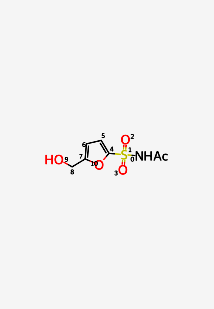 CC(=O)NS(=O)(=O)c1ccc(CO)o1